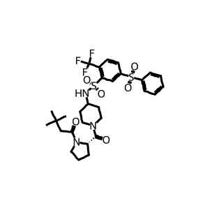 CC(C)(C)CC(=O)N1CCC[C@H]1C(=O)N1CCC(NS(=O)(=O)c2cc(S(=O)(=O)c3ccccc3)ccc2C(F)(F)F)CC1